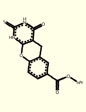 CCCOC(=O)c1ccc2c(c1)Cc1c([nH]c(=S)[nH]c1=O)O2